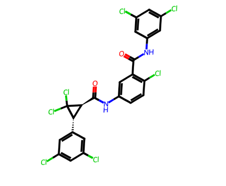 O=C(Nc1cc(Cl)cc(Cl)c1)c1cc(NC(=O)[C@H]2[C@H](c3cc(Cl)cc(Cl)c3)C2(Cl)Cl)ccc1Cl